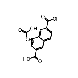 CC(=O)O.O=C(O)c1ccc2cc(C(=O)O)ccc2c1